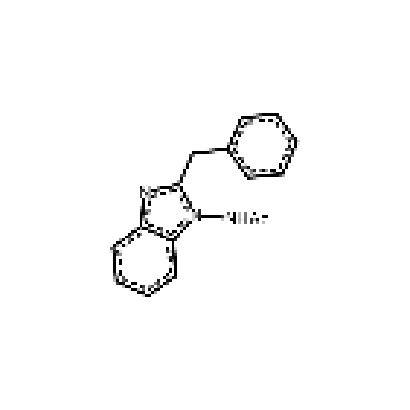 CC(=O)Nn1c(Cc2ccccc2)nc2ccccc21